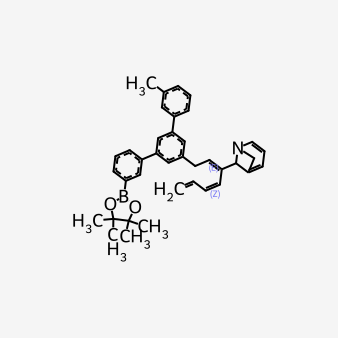 C=C/C=C\C(=C/Cc1cc(-c2cccc(C)c2)cc(-c2cccc(B3OC(C)(C)C(C)(C)O3)c2)c1)C1C2=CC=CN1C2